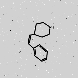 C(=C/C1CCNCC1)/c1ccccc1